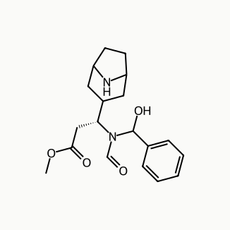 COC(=O)C[C@H](C1CC2CCC(C1)N2)N(C=O)C(O)c1ccccc1